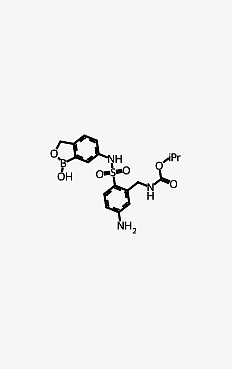 CC(C)OC(=O)NCc1cc(N)ccc1S(=O)(=O)Nc1ccc2c(c1)B(O)OC2